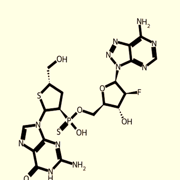 Nc1nc2c(ncn2C2S[C@H](CO)C[C@H]2P(O)(=S)OC[C@H]2O[C@@H](n3nnc4c(N)ncnc43)[C@@H](F)[C@@H]2O)c(=O)[nH]1